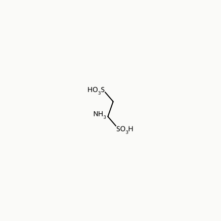 N.O=S(=O)(O)CCS(=O)(=O)O